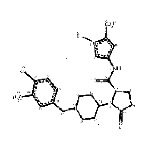 CCn1cc(NC(=O)[C@H]2CCC(=O)N2C2CCN(Cc3ccc(Cl)c(C)c3)CC2)cc1C(=O)O